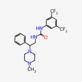 CN1CCN(C(CNC(=O)Nc2cc(C(F)(F)F)cc(C(F)(F)F)c2)c2ccccc2)CC1